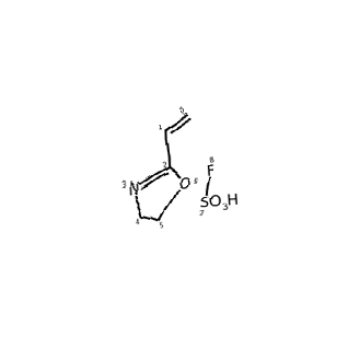 C=CC1=NCCO1.O=S(=O)(O)F